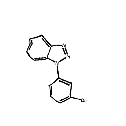 Brc1cc[c]c(-n2nnc3ccccc32)c1